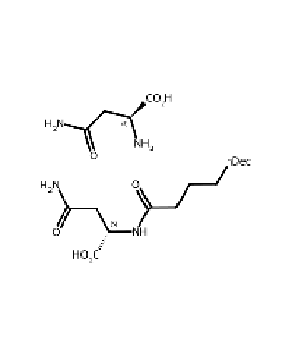 CCCCCCCCCCCCCC(=O)N[C@@H](CC(N)=O)C(=O)O.NC(=O)C[C@H](N)C(=O)O